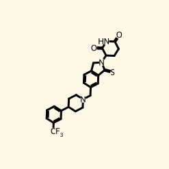 O=C1CCC(N2Cc3ccc(CN4CCC(c5cccc(C(F)(F)F)c5)CC4)cc3C2=S)C(=O)N1